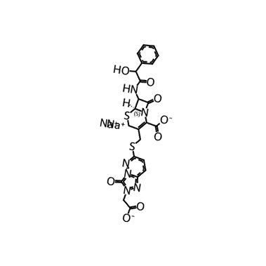 O=C([O-])Cn1nc2ccc(SCC3=C(C(=O)[O-])N4C(=O)C(NC(=O)C(O)c5ccccc5)[C@@H]4SC3)nn2c1=O.[Na+].[Na+]